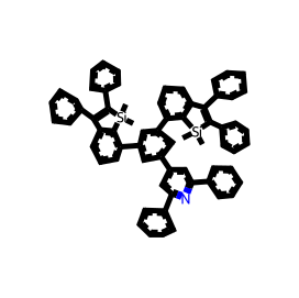 C[Si]1(C)C(c2ccccc2)=C(c2ccccc2)c2cccc(-c3cc(-c4cc(-c5ccccc5)nc(-c5ccccc5)c4)cc(-c4cccc5c4[Si](C)(C)C(c4ccccc4)=C5c4ccccc4)c3)c21